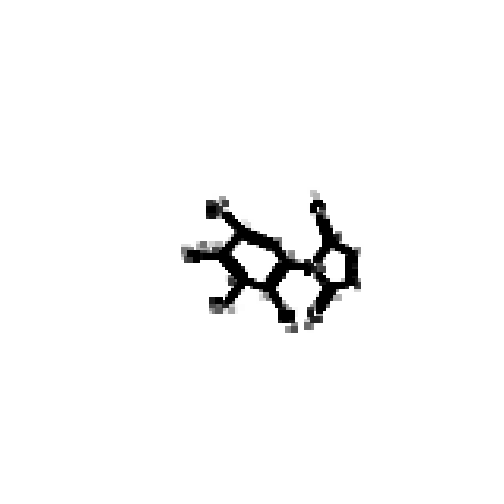 O=C1C=CC(=O)N1c1cc(Br)c(Br)c(Br)c1Br